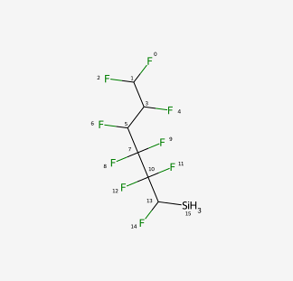 FC(F)C(F)C(F)C(F)(F)C(F)(F)C(F)[SiH3]